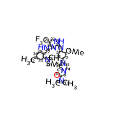 COc1cc(N2CCN(CC(=O)N(C)C)CC2)ccc1Nc1ncc(C(F)(F)F)c(NCc2ccc(C)cc2N(C)SC)n1